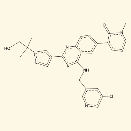 Cn1cccc(-c2ccc3nc(-c4cnn(C(C)(C)CO)c4)nc(NCc4cncc(Cl)c4)c3c2)c1=O